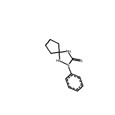 S=C1NC2(CCCC2)NN1c1ccccc1